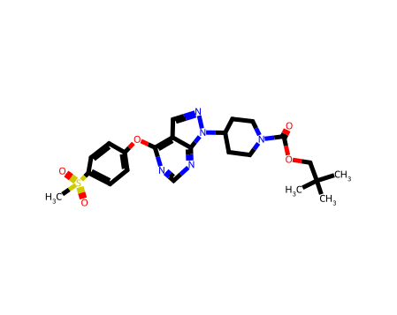 CC(C)(C)COC(=O)N1CCC(n2ncc3c(Oc4ccc(S(C)(=O)=O)cc4)ncnc32)CC1